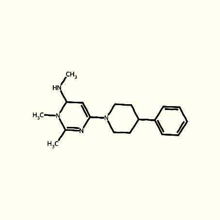 CNC1C=C(N2CCC(c3ccccc3)CC2)N=C(C)N1C